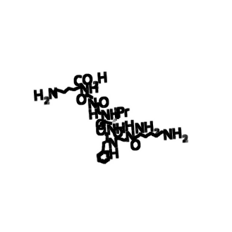 CC(C)C[C@H](NC(=O)[C@H](Cc1ccccc1)NC(=O)CNC(=O)[C@@H](N)CCCCN)C(=O)NCC(=O)NCC(=O)N[C@@H](CCCCN)C(=O)O